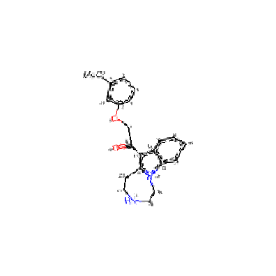 COc1cccc(OCC(=O)c2c3n(c4ccccc24)CCNCC3)c1